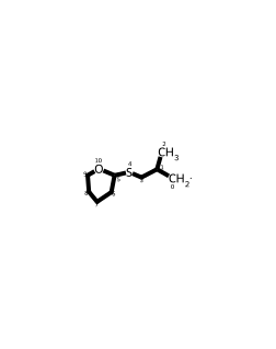 [CH2]C(C)CSC1CCCCO1